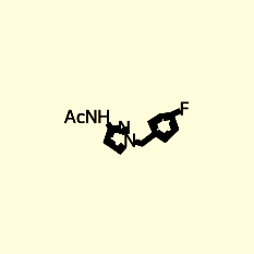 CC(=O)Nc1ccn(Cc2ccc(F)cc2)n1